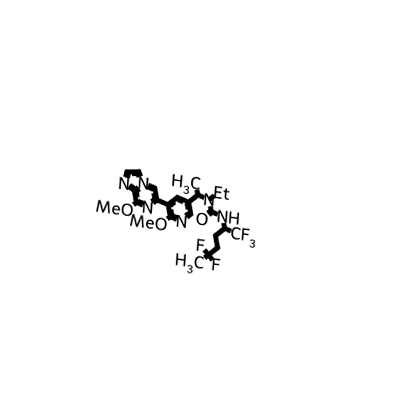 CCN(C(=O)NC(CCC(C)(F)F)C(F)(F)F)C(C)c1cnc(OC)c(-c2cn3ccnc3c(OC)n2)c1